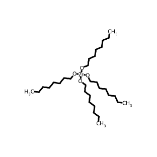 CCCCCCCC[O][Zr]([O]CCCCCCCC)([O]CCCCCCCC)[O]CCCCCCCC